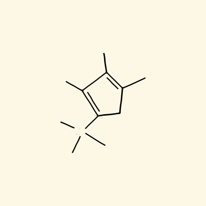 CC1=C(C)C(C)=[C]([Zr]([CH3])([CH3])[CH3])C1